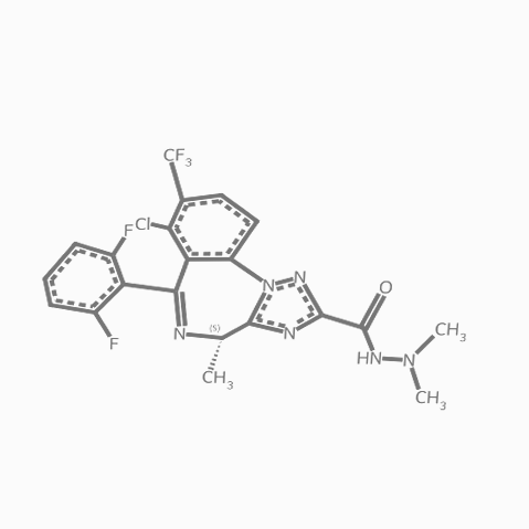 C[C@@H]1N=C(c2c(F)cccc2F)c2c(ccc(C(F)(F)F)c2Cl)-n2nc(C(=O)NN(C)C)nc21